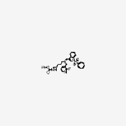 CC(C)OC(=O)NCCCCCN(Cc1cccnc1F)Cc1cn(S(=O)(=O)C2=CCC=CC=C2)c2ccccc12